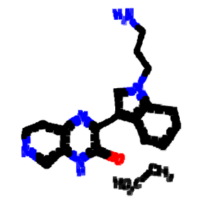 CC(=O)O.NCCCn1cc(-c2nc3ccncc3[nH]c2=O)c2ccccc21